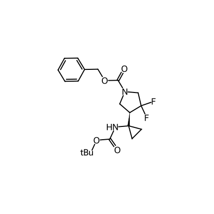 CC(C)(C)OC(=O)NC1([C@H]2CN(C(=O)OCc3ccccc3)CC2(F)F)CC1